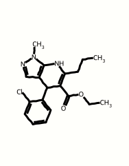 CCCC1=C(C(=O)OCC)C(c2ccccc2Cl)c2cnn(C)c2N1